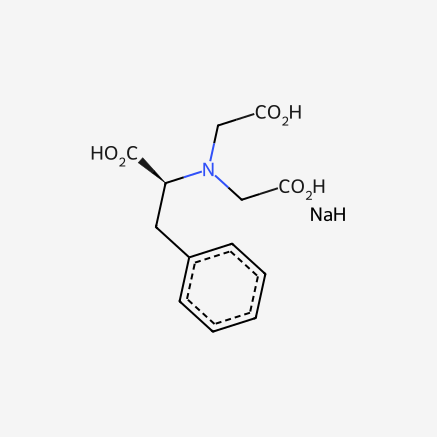 O=C(O)CN(CC(=O)O)[C@@H](Cc1ccccc1)C(=O)O.[NaH]